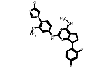 CNc1nc(Nc2ccc(-n3cnc(Cl)c3)c(OC)c2)nc2c1CC[C@H]2c1ccc(F)cc1F